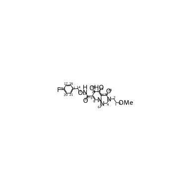 COCCN1CN(C)n2cc(C(=O)NOCc3ccc(F)cc3)c(=O)c(O)c2C1=O